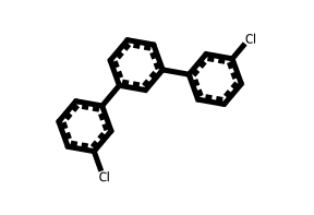 Clc1cccc(-c2cccc(-c3cccc(Cl)c3)c2)c1